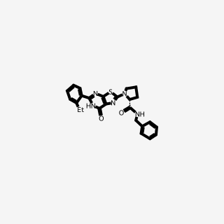 CCc1ccccc1-c1nc2sc(N3CCC[C@@H]3C(=O)NCc3ccccc3)nc2c(=O)[nH]1